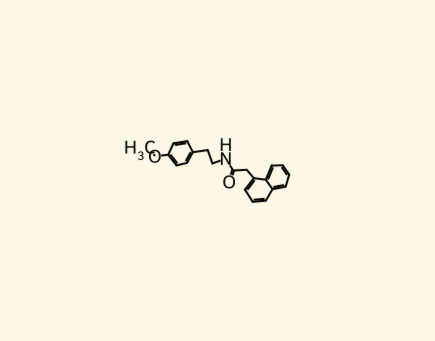 COc1ccc(CCNC(=O)Cc2cccc3ccccc23)cc1